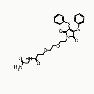 NC(=O)CNC(=O)CCOCCOCCN1C(=O)C(Sc2ccccc2)=C(Sc2ccccc2)C1=O